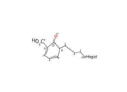 CCCCCCCCCCC1C=CC=C(C(=O)O)C1=O